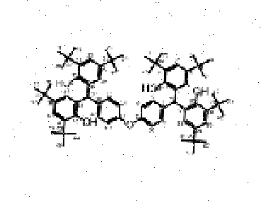 CC(C)(C)c1cc(C(c2ccc(Oc3ccc(C(c4cc(C(C)(C)C)cc(C(C)(C)C)c4O)c4cc(C(C)(C)C)cc(C(C)(C)C)c4O)cc3)cc2)c2cc(C(C)(C)C)cc(C(C)(C)C)c2O)c(O)c(C(C)(C)C)c1